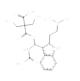 CCC(CC)(C(=O)O)C(=O)OC(NC(C)=O)c1c(CCN(C)C)[nH]c2ccccc12